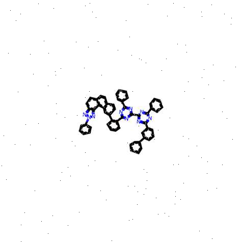 c1ccc(-c2cccc(-c3nc(-c4ccccc4)nc(-c4nc(-c5ccccc5)nc(-c5ccccc5-c5ccc6ccc7ccc8nn(-c9ccccc9)nc8c7c6c5)n4)n3)c2)cc1